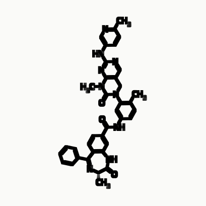 Cc1ccc(Nc2ncc3c(n2)N(C)C(=O)N(c2cc(NC(=O)c4ccc5c(c4)NC(=O)[C@H](C)N=C5c4ccccc4)ccc2C)C3)cn1